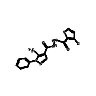 O=C(NNC(=O)c1sccc1Cl)c1cnn(-c2ccccc2)c1C(F)(F)F